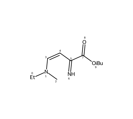 CCN(C)/C=C\C(=N)C(=O)OCC(C)C